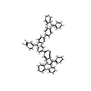 c1ccc(-c2c3ccc(-c4ccc5c(c4)c4cc(-c6ccc7c(c6)c6ccccc6n7-c6ccccc6)ccc4n5-c4ccccc4)cc3n3c4ccccc4c4ccccc4c23)cc1